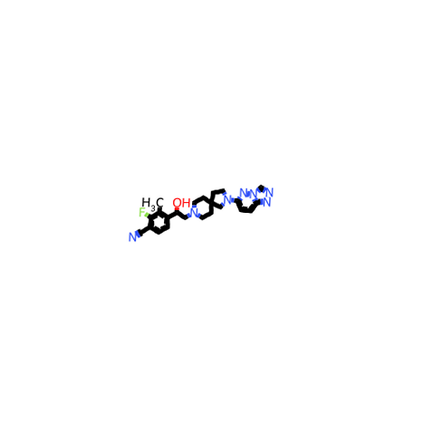 Cc1c(C(O)CN2CCC3(CC2)CCN(c2ccc4nncn4n2)C3)ccc(C#N)c1F